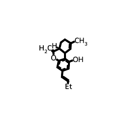 C=C1Oc2cc(/C=C/CC)cc(O)c2C2C=C(C)CC[C@@H]12